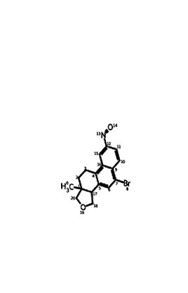 CC12CCc3c(cc(Br)c4ccc(N=O)cc34)C1COC2